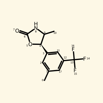 Cc1cc([C@H]2OC(=O)NC2C)cc(C(F)(F)F)c1